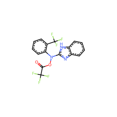 O=C(ON(c1nc2ccccc2[nH]1)c1ccccc1C(F)(F)F)C(F)(F)F